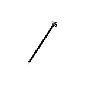 Cl[Si](Cl)(Cl)CCCCCCCCCCCCCCCCCCCCCCCCCCCCCCCCCCCI